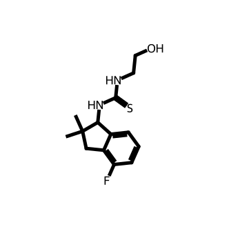 CC1(C)Cc2c(F)cccc2C1NC(=S)NCCO